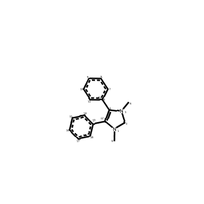 CN1CN(C)C(c2ccccc2)=C1c1ccccc1